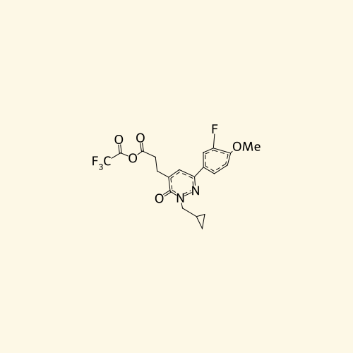 COc1ccc(-c2cc(CCC(=O)OC(=O)C(F)(F)F)c(=O)n(CC3CC3)n2)cc1F